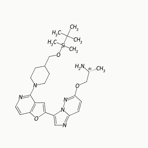 C[C@@H](N)COc1ccc2ncc(-c3cc4c(N5CCC(CO[Si](C)(C)C(C)(C)C)CC5)nccc4o3)n2n1